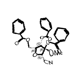 CO[C@@]1(OC(=O)c2ccccc2)[C@H](C#N)O[C@H](COC(=O)c2ccccc2)[C@@H]1OC(=O)c1ccccc1